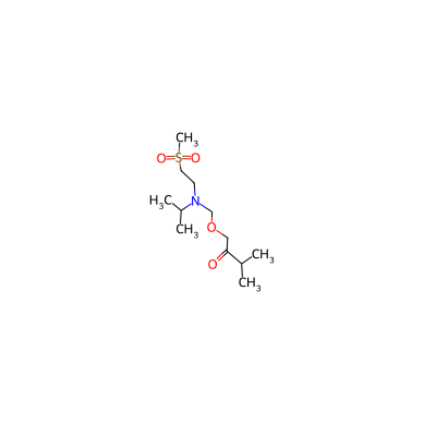 CC(C)C(=O)COCN(CCS(C)(=O)=O)C(C)C